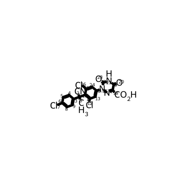 CC(C#N)(c1ccc(Cl)cc1)c1c(Cl)cc(-n2nc(C(=O)O)c(=O)[nH]c2=O)cc1Cl